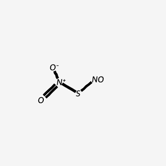 O=NS[N+](=O)[O-]